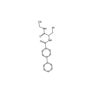 CC(C)CC(NC(=O)c1ccc(-c2ccccc2)cc1)C(=O)NCC#N